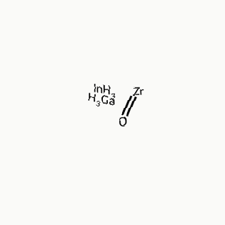 [GaH3].[InH3].[O]=[Zr]